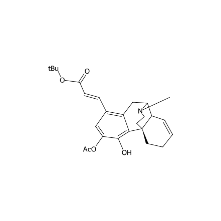 CC(=O)Oc1cc(/C=C/C(=O)OC(C)(C)C)c2c(c1O)[C@@]13CCC=CC1C(C2)N(C)CC3